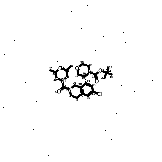 CC1CN(C(=O)N2CCc3cc(Cl)cc([C@@H]4COCCN4C(=O)OC(C)(C)C)c3C2)CC(C)O1